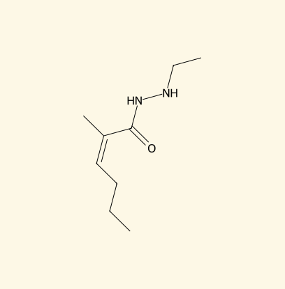 CCCC=C(C)C(=O)NNCC